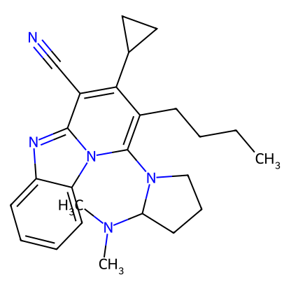 CCCCc1c(C2CC2)c(C#N)c2nc3ccccc3n2c1N1CCCC1N(C)C